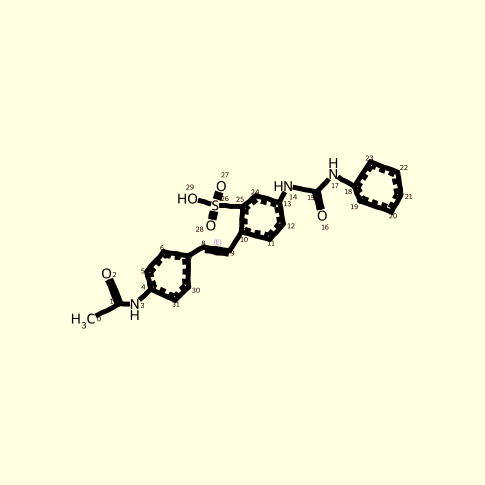 CC(=O)Nc1ccc(/C=C/c2ccc(NC(=O)Nc3ccccc3)cc2S(=O)(=O)O)cc1